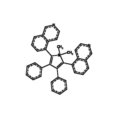 C[Si]1(C)C(c2cccc3cnccc23)=C(c2ccccc2)C(c2ccccc2)=C1c1cccc2cnccc12